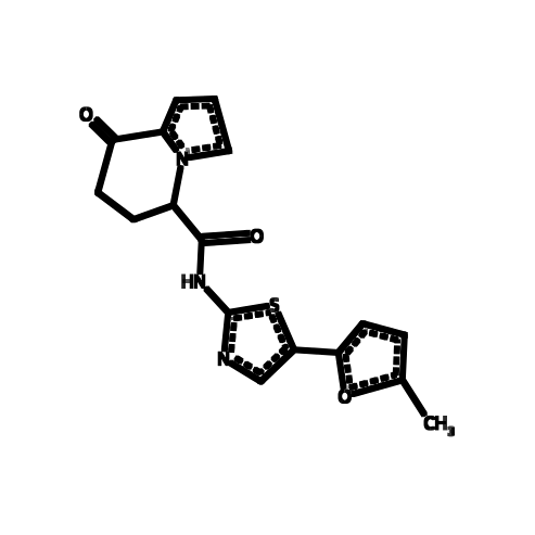 Cc1ccc(-c2cnc(NC(=O)C3CCC(=O)c4cccn43)s2)o1